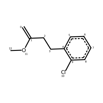 C=C(CCc1ccccc1Cl)OC